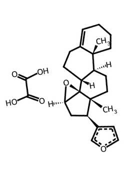 C[C@]12CCCC=C1CC[C@@H]1[C@@H]2CC[C@]2(C)[C@@H](c3ccoc3)C[C@H]3O[C@]132.O=C(O)C(=O)O